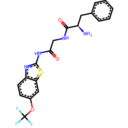 N[C@H](Cc1ccccc1)C(=O)NCC(=O)Nc1nc2ccc(OC(F)(F)F)cc2s1